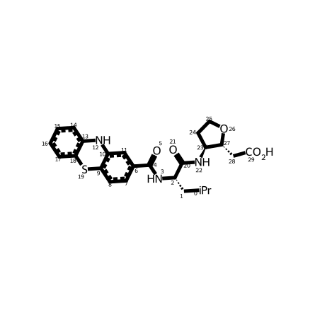 CC(C)C[C@H](NC(=O)c1ccc2c(c1)Nc1ccccc1S2)C(=O)N[C@H]1CCO[C@@H]1CC(=O)O